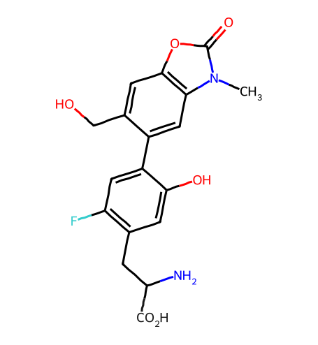 Cn1c(=O)oc2cc(CO)c(-c3cc(F)c(CC(N)C(=O)O)cc3O)cc21